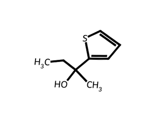 CCC(C)(O)c1cccs1